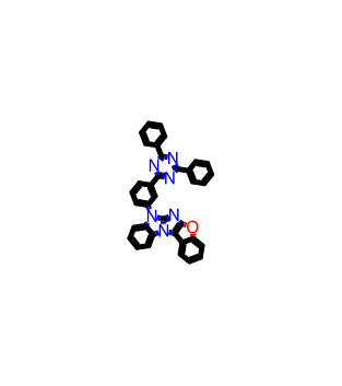 c1ccc(-c2nc(-c3ccccc3)nc(-c3cccc(-n4c5ccccc5n5c6c(nc45)oc4ccccc46)c3)n2)cc1